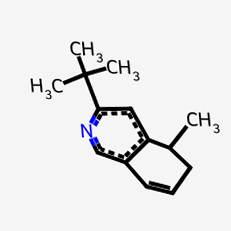 CC1CC=Cc2cnc(C(C)(C)C)cc21